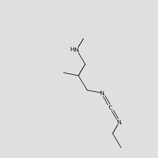 CCN=C=NCC(C)CNC